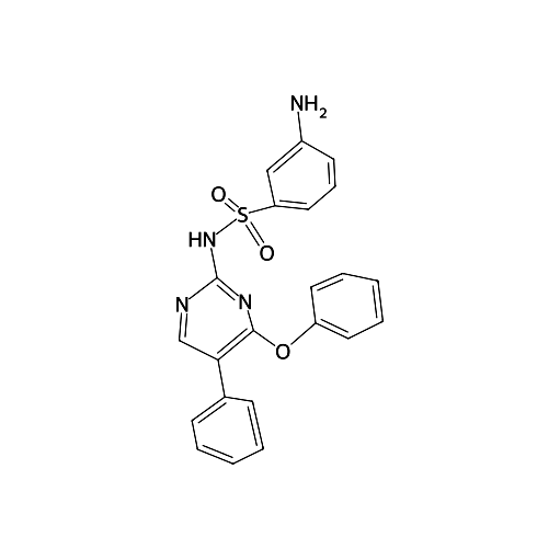 Nc1cccc(S(=O)(=O)Nc2ncc(-c3ccccc3)c(Oc3ccccc3)n2)c1